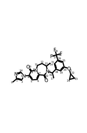 Cc1cn(-c2ccc3n(c2=O)CCC(C)N(C(C)c2cc(OC4CC4)cc(C(F)(F)F)c2)C3=O)cn1